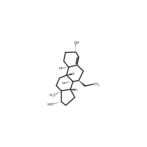 CC[C@@H]1CC2=C[C@@H](O)CC[C@@H]2[C@H]2CC[C@]3(C)[C@@H](O)CC[C@H]3[C@H]12